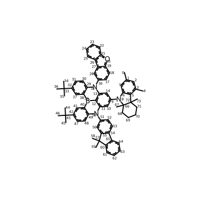 Cc1cc(C)c2c(c1)N(c1cc3c4c(c1)N(c1ccc5oc6ccccc6c5c1)c1ccc(C(C)(C)C)cc1B4c1cc(C(C)(C)C)ccc1N3c1ccc3c(c1)C(C)(C)c1ccccc1-3)C1(C)CCCCC21C